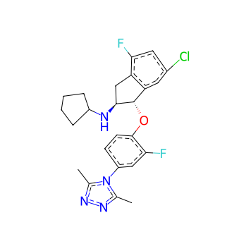 Cc1nnc(C)n1-c1ccc(O[C@H]2c3cc(Cl)cc(F)c3C[C@@H]2NC2CCCC2)c(F)c1